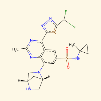 Cc1nc(-c2nnc(C(F)F)s2)c2cc(S(=O)(=O)NC3(C)CC3)cc(N3C[C@@H]4C[C@H]3CN4)c2n1